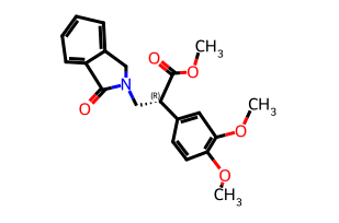 COC(=O)[C@@H](CN1Cc2ccccc2C1=O)c1ccc(OC)c(OC)c1